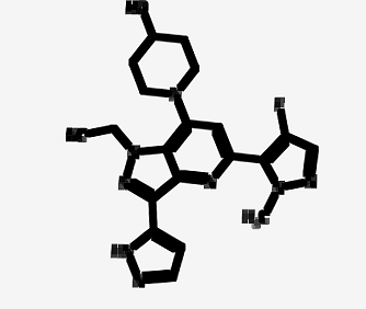 Cn1ncc(F)c1-c1cc(N2CCC(O)CC2)c2c(n1)c(-c1ccn[nH]1)nn2CC#N